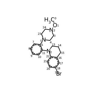 CON1CCN(c2ccccc2N2CCCc3cc(Br)ccc32)CC1